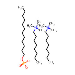 CCCCCCCCCCCCOP(=O)([O-])[O-].CCCCCCCC[N+](C)(C)C.CCCCCCCC[N+](C)(C)C